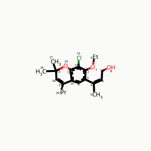 CCOc1c(/C(C)=C\CO)cc2c(c1Cl)OC(C)(C)C=C2C(C)C